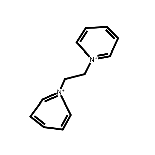 c1cc[n+](CC[n+]2ccccc2)cc1